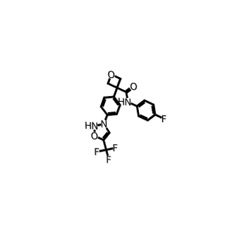 O=C(Nc1ccc(F)cc1)C1(c2ccc(N3C=C(C(F)(F)F)ON3)cc2)COC1